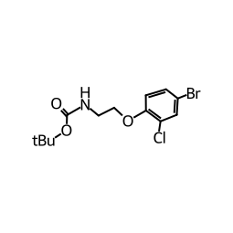 CC(C)(C)OC(=O)NCCOc1ccc(Br)cc1Cl